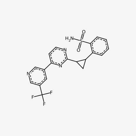 NS(=O)(=O)c1ccccc1C1CC1c1nccc(-c2cncc(C(F)(F)F)c2)n1